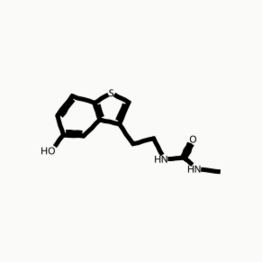 CNC(=O)NCCc1csc2ccc(O)cc12